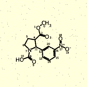 COC(=O)C1CCN(C(=O)O)C1c1cccc([N+](=O)[O-])c1